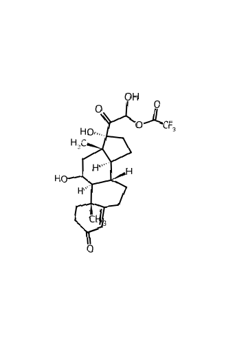 C[C@]12CCC(=O)C=C1CC[C@@H]1[C@@H]2C(O)C[C@@]2(C)[C@H]1CC[C@]2(O)C(=O)C(O)OC(=O)C(F)(F)F